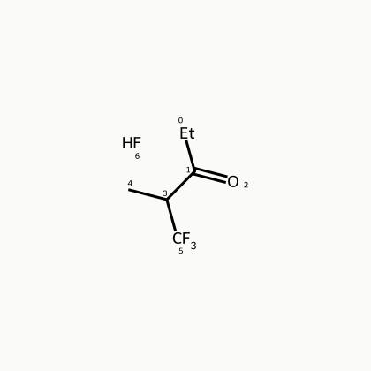 CCC(=O)C(C)C(F)(F)F.F